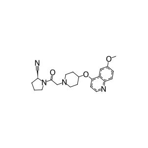 COc1ccc2nccc(OC3CCN(CC(=O)N4CCC[C@H]4C#N)CC3)c2c1